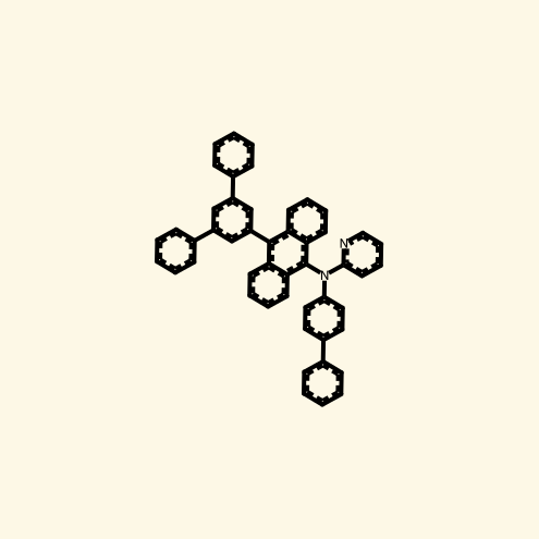 c1ccc(-c2ccc(N(c3ccccn3)c3c4ccccc4c(-c4cc(-c5ccccc5)cc(-c5ccccc5)c4)c4ccccc34)cc2)cc1